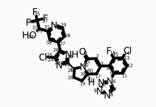 O=C1C=C(c2c(-n3cnnn3)ccc(Cl)c2F)C[C@H]2CC[C@@H](c3nc(Cl)c(-c4ccnc([C@@H](O)C(F)(F)F)c4)[nH]3)N12